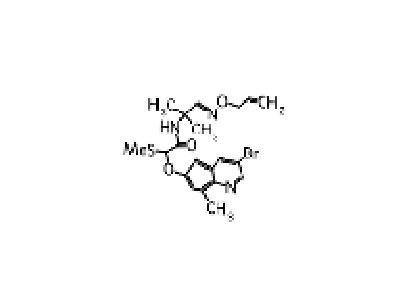 C=CCON=CC(C)(C)NC(=O)C(Oc1cc(C)c2ncc(Br)cc2c1)SC